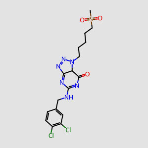 CS(=O)(=O)CCCCCN1N=NC2=NC(NCc3ccc(Cl)c(Cl)c3)=NC(=O)C21